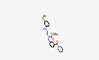 CC(C)Oc1cccc(N(C)CCN(Cc2cccc(C(=O)N3CCCCC3)c2)C(=O)OC(C)(C)C)c1